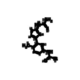 CCC(=O)Nc1ccc(C)c(-c2csc(NC(N)=S)n2)n1